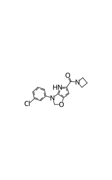 O=C(c1cc2c([nH]1)N(c1cccc(Cl)c1)CO2)N1CCC1